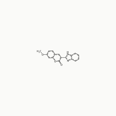 COc1ccc2cc(-c3nc4ccccc4[nH]3)c(=O)oc2c1